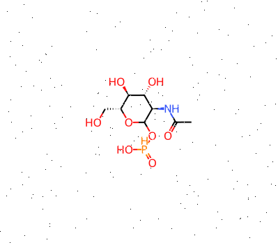 CC(=O)N[C@H]1C(O[PH](=O)O)O[C@H](CO)[C@@H](O)[C@@H]1O